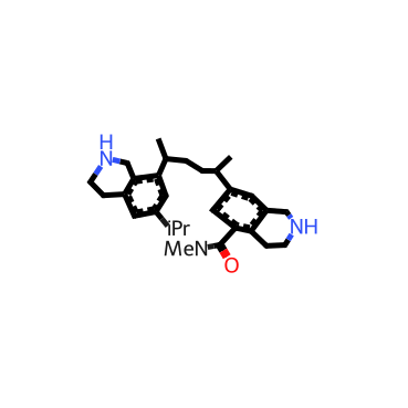 CNC(=O)c1cc(C(C)CCC(C)c2cc(C(C)C)cc3c2CNCC3)cc2c1CCNC2